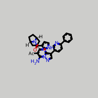 CC(=O)c1c([C@@H]2C[C@H]3CC[C@@H](C2)N3C(=O)c2cc[nH]c2)nc2c(-c3ccc(-c4ccccc4)nc3)cnn2c1N